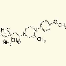 COc1ccc(N2CCN(C(=O)CC(C)(C)C(N)=O)CC2C)cc1